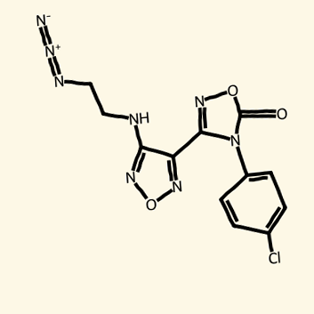 [N-]=[N+]=NCCNc1nonc1-c1noc(=O)n1-c1ccc(Cl)cc1